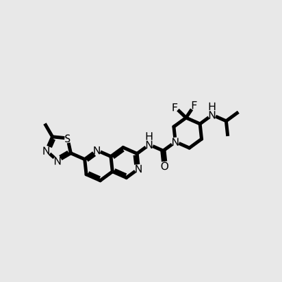 Cc1nnc(-c2ccc3cnc(NC(=O)N4CCC(NC(C)C)C(F)(F)C4)cc3n2)s1